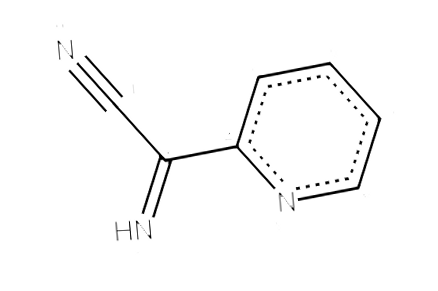 N#CC(=N)c1ccccn1